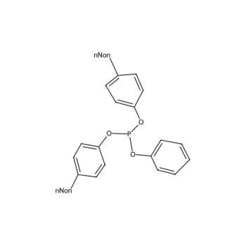 CCCCCCCCCc1ccc(OP(Oc2ccccc2)Oc2ccc(CCCCCCCCC)cc2)cc1